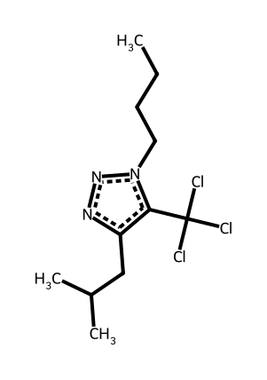 CCCCn1nnc(CC(C)C)c1C(Cl)(Cl)Cl